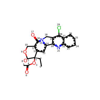 CC[C@@]1(OC(C)=O)C(=O)OCc2c1cc1n(c2=O)Cc2c-1nc1ccccc1c2Cl